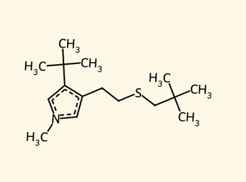 Cn1cc(CCSCC(C)(C)C)c(C(C)(C)C)c1